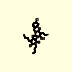 CCCCn1c(=O)c2c(nc3n(Cc4ccc(Cl)cc4)c(=O)c(CCC)c(O)n23)n(CCCC)c1=O